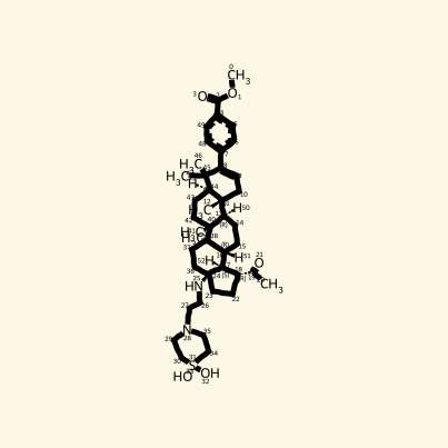 COC(=O)c1ccc(C2=CC[C@]3(C)[C@H]4CC[C@@H]5[C@H]6[C@H](C(C)=O)CC[C@]6(NCCN6CCS(O)(O)CC6)CC[C@@]5(C)[C@]4(C)CC[C@H]3C2(C)C)cc1